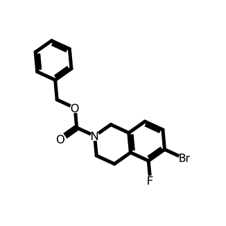 O=C(OCc1ccccc1)N1CCc2c(ccc(Br)c2F)C1